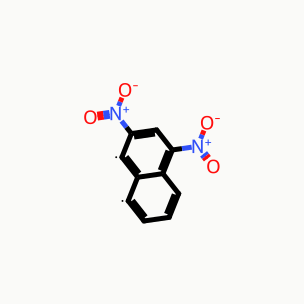 O=[N+]([O-])c1[c]c2[c]cccc2c([N+](=O)[O-])c1